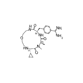 C[C@@H]1C(=O)N[C@H](Cc2ccc(C(=N)N)cc2)C(=O)NCCOCCN[C@@H](C2CC2)C(=O)N1C